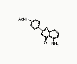 CC(=O)Nc1ccc(-c2cc(=O)c3c(N)cccc3o2)cc1